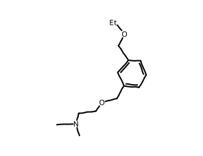 CCOCc1cccc(COCCN(C)C)c1